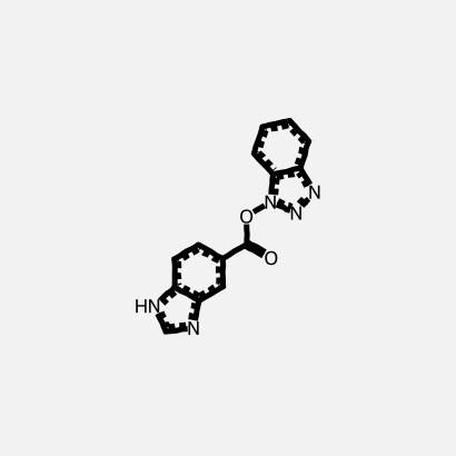 O=C(On1nnc2ccccc21)c1ccc2[nH]cnc2c1